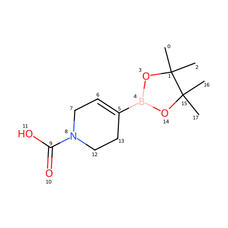 CC1(C)OB(C2=CCN(C(=O)O)CC2)OC1(C)C